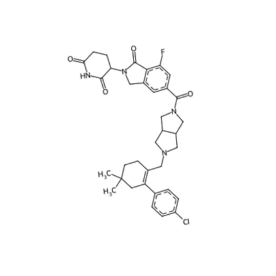 CC1(C)CCC(CN2CC3CN(C(=O)c4cc(F)c5c(c4)CN(C4CCC(=O)NC4=O)C5=O)CC3C2)=C(c2ccc(Cl)cc2)C1